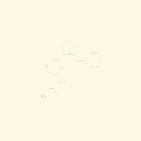 Cc1ncc(-c2cncc(N[C@@H]3CCNC3)n2)n1Cc1ccccc1